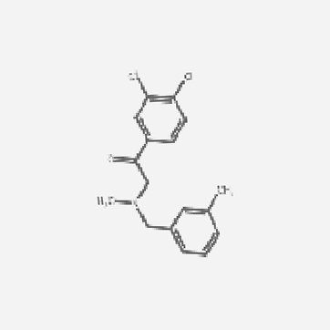 Cc1cccc(CN(C)CC(=O)c2ccc(Cl)c(Cl)c2)c1